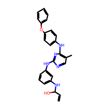 C=CC(O)Nc1cccc(Nc2ncc(C)c(Nc3ccc(Oc4ccccc4)cc3)n2)c1